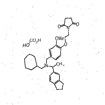 COc1cc(CN(CC2CCCCC2)C(C)c2ccc3c(c2)CCC3)ccc1OCCN1C(=O)CCC1=O.O=C(O)O